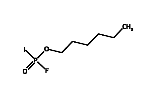 CCCCCCOP(=O)(F)I